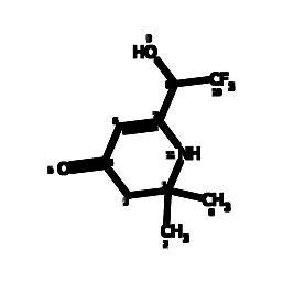 CC1(C)CC(=O)C=C(C(O)C(F)(F)F)N1